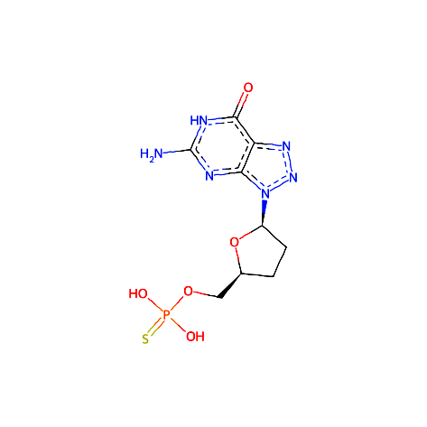 Nc1nc2c(nnn2[C@H]2CC[C@@H](COP(O)(O)=S)O2)c(=O)[nH]1